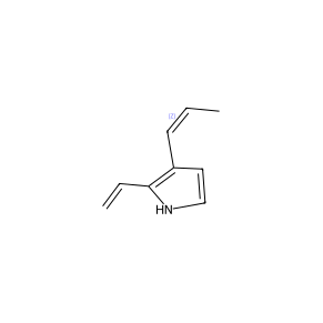 C=Cc1[nH]ccc1/C=C\C